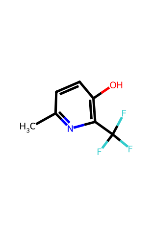 Cc1ccc(O)c(C(F)(F)F)n1